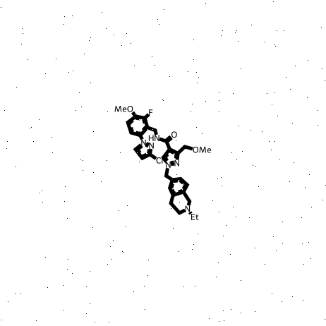 CCN1CCc2cc(Cn3cc(C(=O)NCc4c(-n5ccc(C#N)n5)ccc(OC)c4F)c(COC)n3)ccc2C1